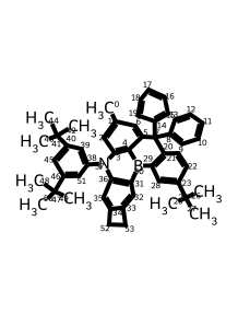 Cc1cc2c3c(c1)C(c1ccccc1)(c1ccccc1)c1ccc(C(C)(C)C)cc1B3c1cc3c(cc1N2c1cc(C(C)(C)C)cc(C(C)(C)C)c1)CC3